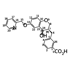 O=C(O)c1cccc(C[C@@H]2COc3ccc(OCc4ccccn4)cc3[C@@H]2O)c1